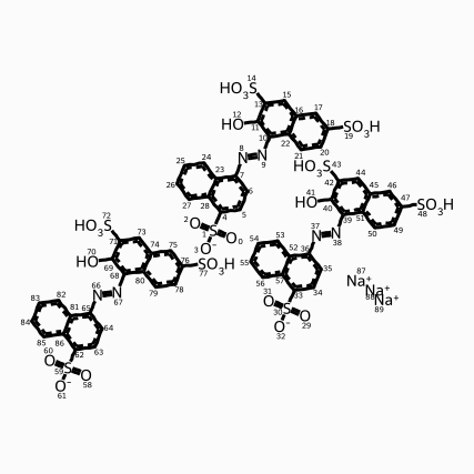 O=S(=O)([O-])c1ccc(/N=N/c2c(O)c(S(=O)(=O)O)cc3cc(S(=O)(=O)O)ccc23)c2ccccc12.O=S(=O)([O-])c1ccc(/N=N/c2c(O)c(S(=O)(=O)O)cc3cc(S(=O)(=O)O)ccc23)c2ccccc12.O=S(=O)([O-])c1ccc(/N=N/c2c(O)c(S(=O)(=O)O)cc3cc(S(=O)(=O)O)ccc23)c2ccccc12.[Na+].[Na+].[Na+]